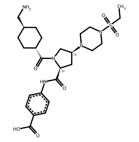 CCS(=O)(=O)N1CCN([C@H]2C[C@@H](C(=O)Nc3ccc(C(=O)O)cc3)N(C(=O)[C@H]3CC[C@H](CN)CC3)C2)CC1